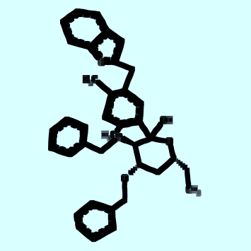 CC[C@@H]1C[C@H](OCc2ccccc2)[C@@H](OCc2ccccc2)C(O)(c2cc(Cc3cc4ccccc4o3)c(C)cc2C)O1